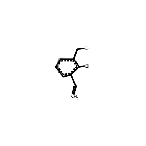 C=[C]c1cccc(CO)c1Cl